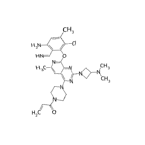 C=CC(=O)N1CCN(c2nc(N3CC(N(C)C)C3)nc3c(Oc4c(Cl)c(C)cc(N)c4C=N)nc(C)cc23)CC1